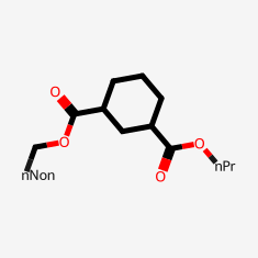 CCCCCCCCCCOC(=O)C1CCCC(C(=O)OCCC)C1